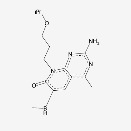 CBc1cc2c(C)nc(N)nc2n(CCCOC(C)C)c1=O